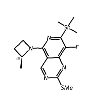 CSc1ncc2c(N3CC[C@@H]3C)n[c]([Sn]([CH3])([CH3])[CH3])c(F)c2n1